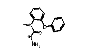 CN(C(=O)NN)c1ccccc1Oc1ccccc1